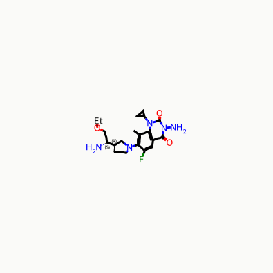 CCOC[C@@H](N)[C@@H]1CCN(c2c(F)cc3c(=O)n(N)c(=O)n(C4CC4)c3c2C)C1